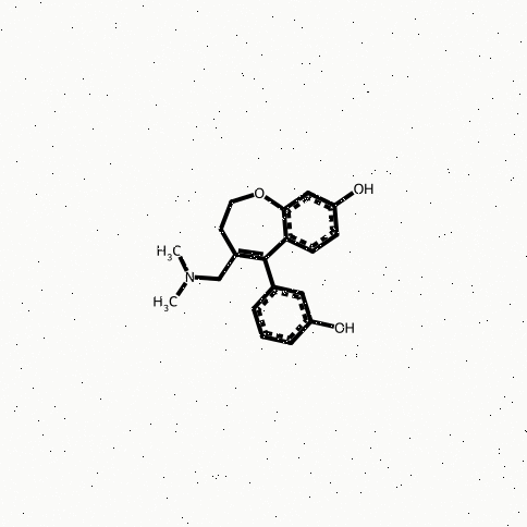 CN(C)CC1=C(c2cccc(O)c2)c2ccc(O)cc2OCC1